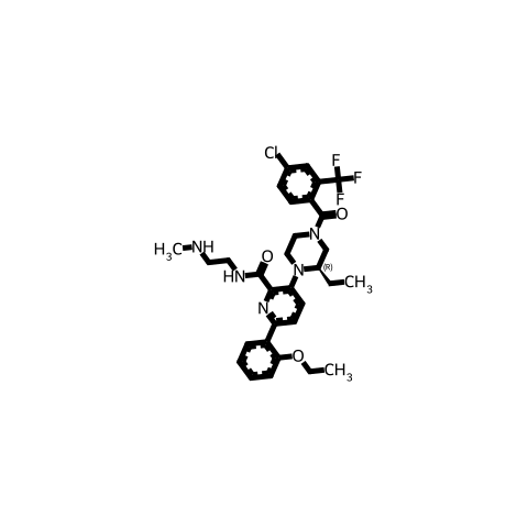 CCOc1ccccc1-c1ccc(N2CCN(C(=O)c3ccc(Cl)cc3C(F)(F)F)C[C@H]2CC)c(C(=O)NCCNC)n1